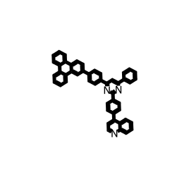 c1ccc(-c2cc(-c3ccc(-c4ccc5c6ccccc6c6ccccc6c5c4)cc3)nc(-c3ccc(-c4ccnc5ccccc45)cc3)n2)cc1